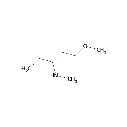 [CH2]CC(CCOC)NC